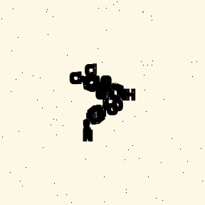 N#CCN1CCN(C(=O)C[C@H]2C(=O)NC=CN2S(=O)(=O)c2ccc(Cl)c(Cl)c2)CC1